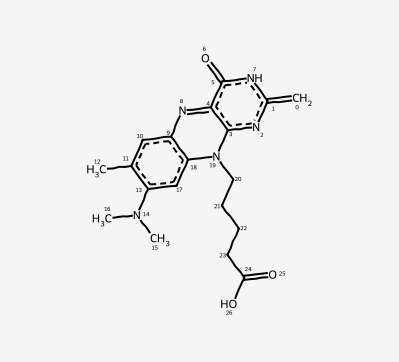 C=c1nc2c(c(=O)[nH]1)=Nc1cc(C)c(N(C)C)cc1N2CCCCC(=O)O